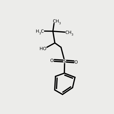 CC(C)(C)C(O)CS(=O)(=O)c1ccccc1